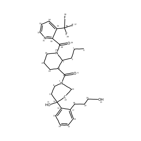 CCCC1C(C(=O)N2CCC(O)(c3ccccc3CCCO)CC2)CCCN1C(=O)c1ncccc1C(F)(F)F